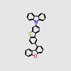 c1ccc2c(c1)oc1cccc(-c3ccc4sc5cc(-n6c7ccccc7c7ccccc76)ccc5c4c3)c12